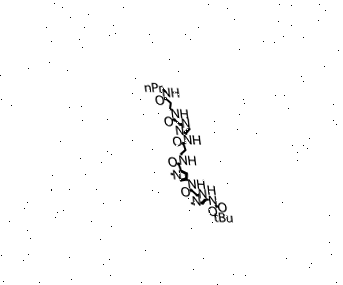 CCCNC(=O)CCNC(=O)c1nc(NC(=O)CCNC(=O)c2cc(NC(=O)c3nc(NC(=O)OC(C)(C)C)cn3C)cn2C)cn1C